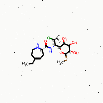 CCC1=CC[C@@H](C(=O)N[C@H]([C@H](C)Cl)[C@H]2OC(SC)[C@H](O)C(O)C2O)NCC1